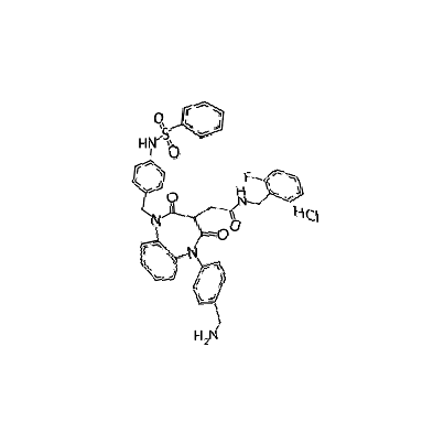 Cl.NCc1ccc(N2C(=O)C(CC(=O)NCc3ccccc3F)C(=O)N(Cc3ccc(NS(=O)(=O)c4ccccc4)cc3)c3ccccc32)cc1